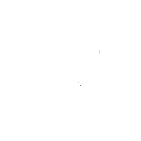 BN1C(=O)/C(=C\C)C(=O)N(C)C1=S